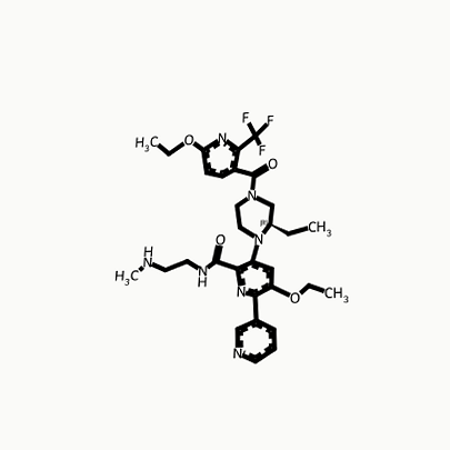 CCOc1ccc(C(=O)N2CCN(c3cc(OCC)c(-c4cccnc4)nc3C(=O)NCCNC)[C@H](CC)C2)c(C(F)(F)F)n1